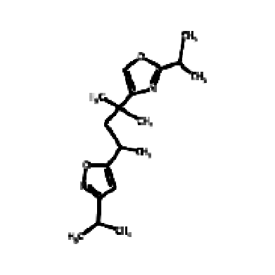 CC(C)c1cc(C(C)CC(C)(C)c2coc(C(C)C)n2)on1